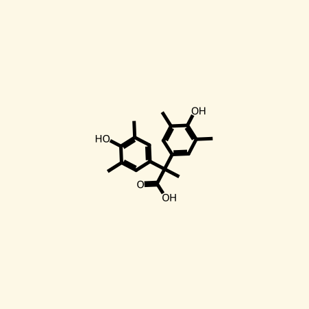 Cc1cc(C(C)(C(=O)O)c2cc(C)c(O)c(C)c2)cc(C)c1O